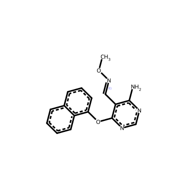 CO/N=C/c1c(N)ncnc1Oc1cccc2ccccc12